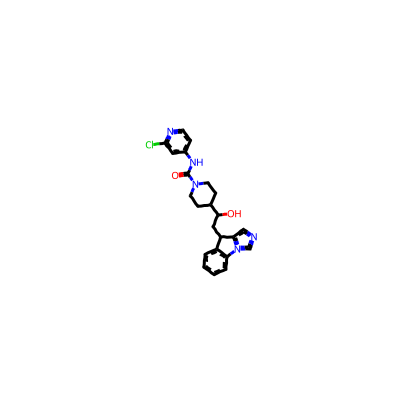 O=C(Nc1ccnc(Cl)c1)N1CCC(C(O)CC2c3ccccc3-n3cncc32)CC1